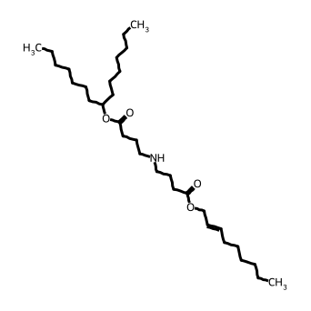 CCCCCCC=CCOC(=O)CCCNCCCC(=O)OC(CCCCCCC)CCCCCCC